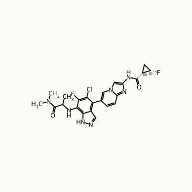 CC(Nc1c(F)c(Cl)c(-c2ccc3nc(NC(=O)[C@@H]4C[C@@H]4F)cn3c2)c2cn[nH]c12)C(=O)N(C)C